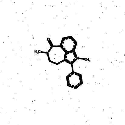 CN1CCc2c(-c3ccccc3)n(C)c3cccc(c23)C1=O